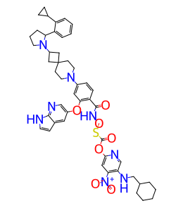 O=C(Oc1cc([N+](=O)[O-])c(NCC2CCCCC2)cn1)SONC(=O)c1ccc(N2CCC3(CC2)CC(N2CCCC2c2ccccc2C2CC2)C3)cc1Oc1cnc2[nH]ccc2c1